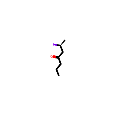 CCCC(=O)C[C@H](C)I